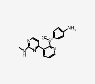 CNc1nccc(-c2cccnc2[S+]([O-])c2ccc(N)cc2)n1